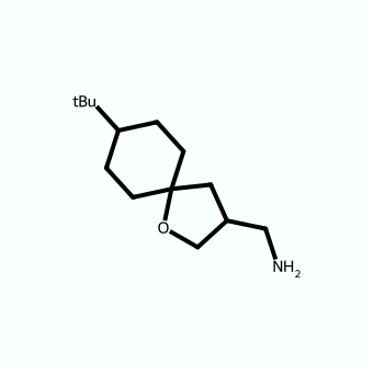 CC(C)(C)C1CCC2(CC1)CC(CN)CO2